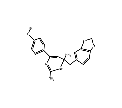 CCOc1ccc(C2=CC(N)(Cc3ccc4c(c3)OCO4)NC(N)=N2)cc1